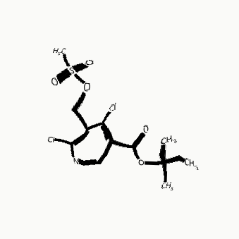 CC(C)(C)OC(=O)c1cnc(Cl)c(COS(C)(=O)=O)c1Cl